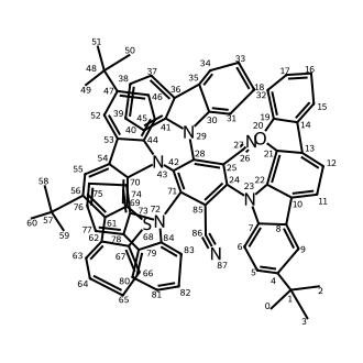 CC(C)(C)c1ccc2c(c1)c1ccc3c4ccccc4oc3c1n2-c1c(C#N)c(-n2c3ccccc3c3ccccc32)c(-n2c3ccc(C(C)(C)C)cc3c3cc(C(C)(C)C)c4c5ccccc5sc4c32)c(-n2c3ccccc3c3ccccc32)c1C#N